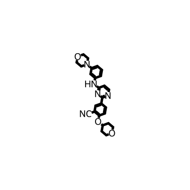 N#Cc1cc(-c2nccc(Nc3cccc(N4CCOCC4)c3)n2)ccc1OC1CCOCC1